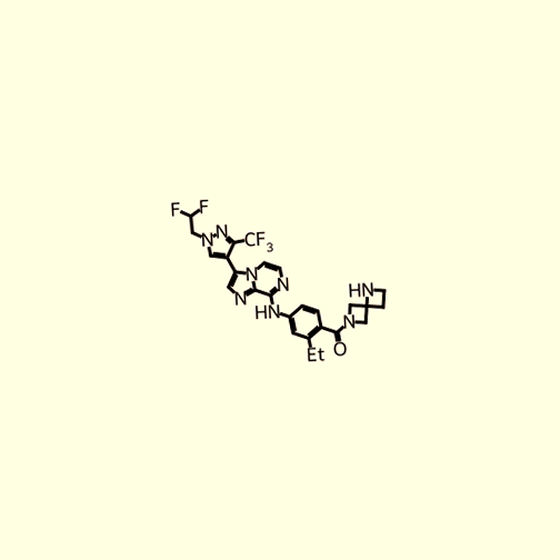 CCc1cc(Nc2nccn3c(-c4cn(CC(F)F)nc4C(F)(F)F)cnc23)ccc1C(=O)N1CC2(CCN2)C1